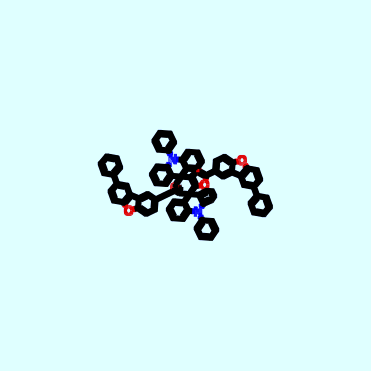 c1ccc(-c2ccc3oc4ccc(-c5cc6c(o5)C5(c7ccccc7N(c7ccccc7)c7ccccc75)c5cc(-c7ccc8oc9ccc(-c%10ccccc%10)cc9c8c7)oc5C65c6ccccc6N(c6ccccc6)c6ccccc65)cc4c3c2)cc1